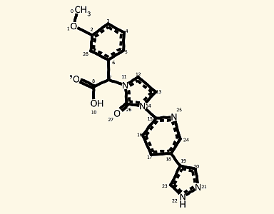 COc1cccc(C(C(=O)O)n2ccn(-c3ccc(-c4cn[nH]c4)cn3)c2=O)c1